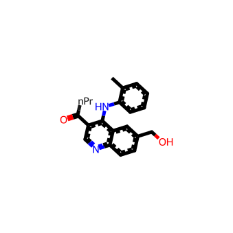 CCCC(=O)c1cnc2ccc(CO)cc2c1Nc1ccccc1C